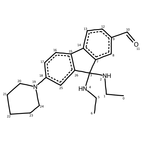 CCNC1(NCC)c2cc(C=O)ccc2-c2ccc(N3CCCCC3)cc21